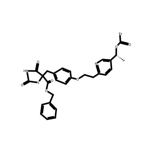 CCC(=O)O[C@H](C)c1ccc(CCOc2ccc(CC3(C(=O)OCc4ccccc4)SC(=O)NC3=O)cc2)nc1